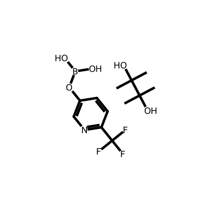 CC(C)(O)C(C)(C)O.OB(O)Oc1ccc(C(F)(F)F)nc1